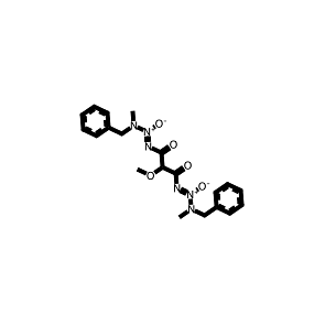 COC(C(=O)N=[N+]([O-])N(C)Cc1ccccc1)C(=O)N=[N+]([O-])N(C)Cc1ccccc1